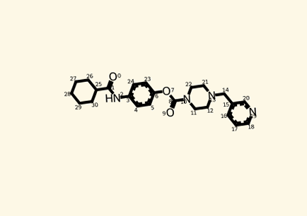 O=C(Nc1ccc(OC(=O)N2CCN(Cc3cccnc3)CC2)cc1)C1CCCCC1